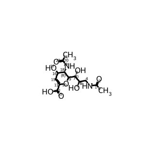 CC(=O)NC[C@@H](O)[C@@H](O)C1OC(C(=O)O)=CC(O)[C@H]1NC(C)=O